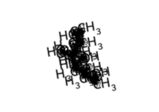 COc1cc(N=Nc2ccc(C)cc2S(=O)(=O)O)c(C)cc1N=Nc1cc(OCCS(=O)(=O)O)c(NC(=O)Nc2cc(C)c(N=Nc3cc(C)c(N=Nc4ccc(C)cc4S(=O)(=O)O)cc3OC)cc2OCCS(=O)(=O)O)cc1C